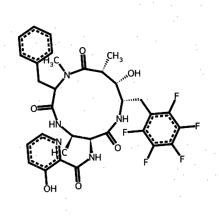 C[C@H]1NC(=O)C(Cc2ccccc2)N(C)C(=O)[C@H](C)[C@H](O)[C@H](Cc2c(F)c(F)c(F)c(F)c2F)NC(=O)[C@H]1NC(=O)c1ncccc1O